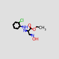 CCOC(=O)C(C=NO)=NNc1ccccc1Cl